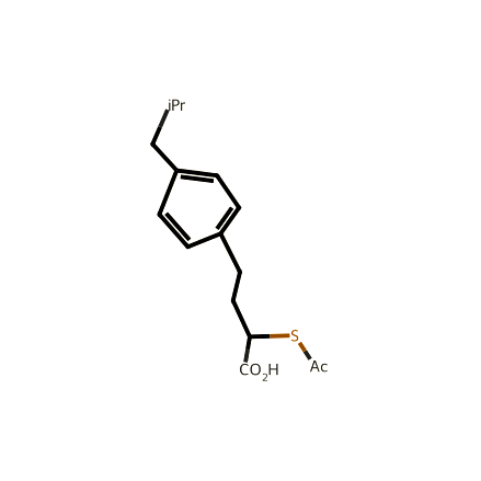 CC(=O)SC(CCc1ccc(CC(C)C)cc1)C(=O)O